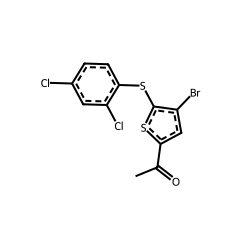 CC(=O)c1cc(Br)c(Sc2ccc(Cl)cc2Cl)s1